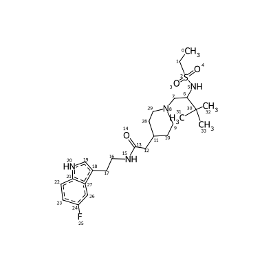 CCS(=O)(=O)NC(CN1CCC(CC(=O)NCCc2c[nH]c3ccc(F)cc23)CC1)C(C)(C)C